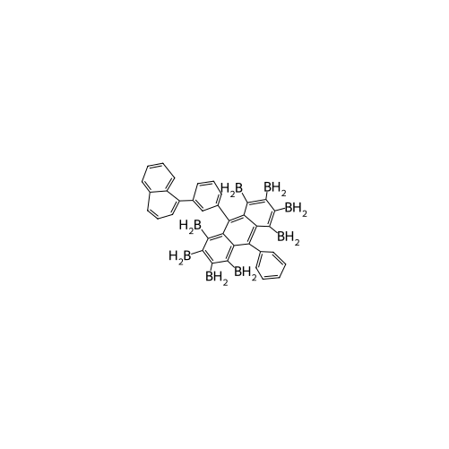 Bc1c(B)c(B)c2c(-c3cccc(-c4cccc5ccccc45)c3)c3c(B)c(B)c(B)c(B)c3c(-c3ccccc3)c2c1B